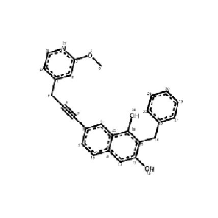 COc1cc(CC#Cc2ccc3cc(O)c(Cc4ccccc4)c(O)c3c2)ccn1